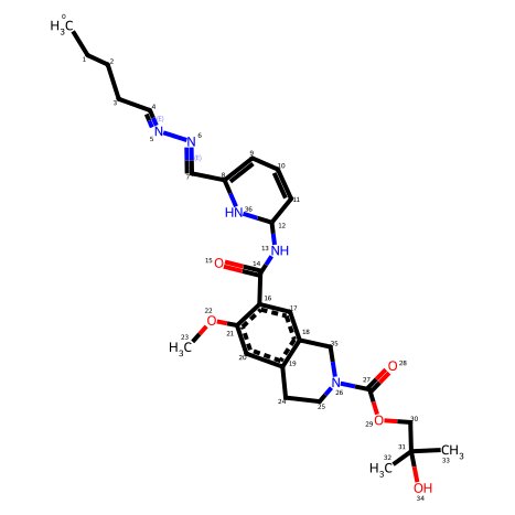 CCCC/C=N/N=C/C1=CC=CC(NC(=O)c2cc3c(cc2OC)CCN(C(=O)OCC(C)(C)O)C3)N1